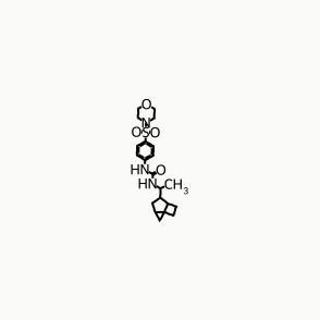 CC(NC(=O)Nc1ccc(S(=O)(=O)N2CCOCC2)cc1)C1CC2CC23CCC13